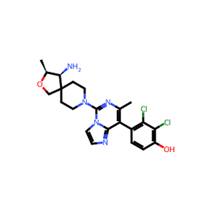 Cc1nc(N2CCC3(CC2)CO[C@@H](C)[C@H]3N)n2ccnc2c1-c1ccc(O)c(Cl)c1Cl